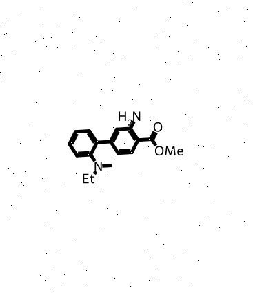 CCN(C)c1ccccc1-c1ccc(C(=O)OC)c(N)c1